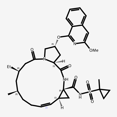 CC[C@H]1CC(=O)N2C[C@H](Oc3nc(OC)cc4ccccc34)C[C@H]2C(=O)N[C@]2(C(=O)NS(=O)(=O)C3(C)CC3)C[C@H]2/C=C\CC[C@@H](C)C1